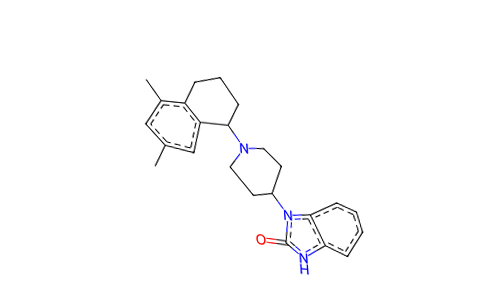 Cc1cc(C)c2c(c1)C(N1CCC(n3c(=O)[nH]c4ccccc43)CC1)CCC2